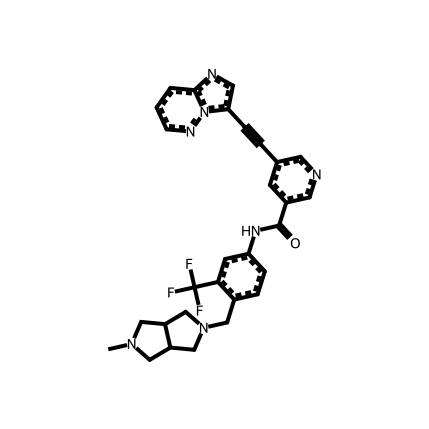 CN1CC2CN(Cc3ccc(NC(=O)c4cncc(C#Cc5cnc6cccnn56)c4)cc3C(F)(F)F)CC2C1